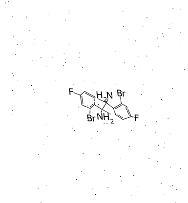 CC(N)(c1ccc(F)cc1Br)C(C)(N)c1ccc(F)cc1Br